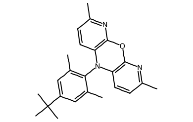 Cc1ccc2c(n1)Oc1nc(C)ccc1N2c1c(C)cc(C(C)(C)C)cc1C